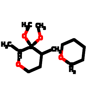 C1CC[SiH2]OC1.CO[Si]1(OC)C(C)CCO[SiH]1C